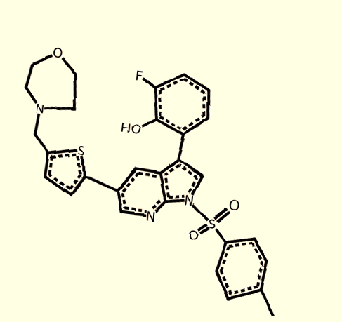 Cc1ccc(S(=O)(=O)n2cc(-c3cccc(F)c3O)c3cc(-c4ccc(CN5CCOCC5)s4)cnc32)cc1